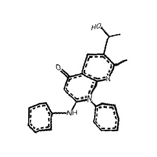 Cc1nc2c(cc1C(C)O)c(=O)cc(Nc1ccccc1)n2-c1ccccc1